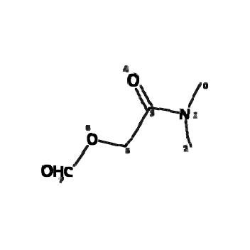 CN(C)C(=O)COC=O